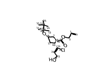 C=CCOC(=O)N1C[C@H](O[Si](C)(C)C(C)(C)C)C[C@H]1C(Cl)=CCO